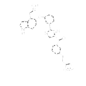 COC(=O)CCc1cccc(C(=O)c2cnc(-c3cccc(Oc4ccc5[nH]ccc5c4C=NO)c3)[nH]2)c1